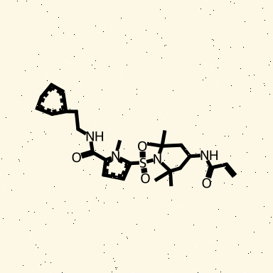 C=CC(=O)NC1CC(C)(C)N(S(=O)(=O)c2ccc(C(=O)NCCc3ccccc3)n2C)C(C)(C)C1